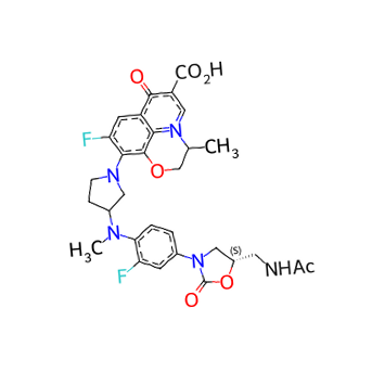 CC(=O)NC[C@H]1CN(c2ccc(N(C)C3CCN(c4c(F)cc5c(=O)c(C(=O)O)cn6c5c4OCC6C)C3)c(F)c2)C(=O)O1